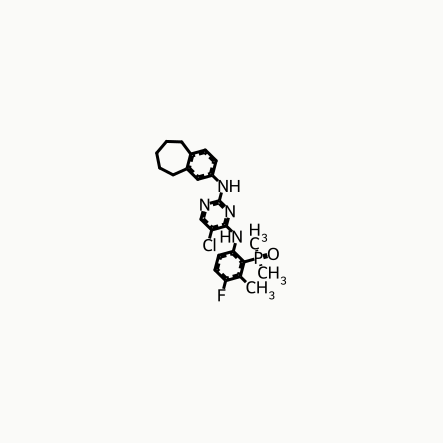 Cc1c(F)ccc(Nc2nc(Nc3ccc4c(c3)CCCCC4)ncc2Cl)c1P(C)(C)=O